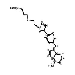 CCOC(=O)CCCCCCn1cc(-c2ccc(Cn3cnc4c(N)ncnc43)cc2)nn1